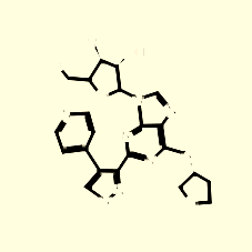 OCC1OC(n2cnc3c(N[C@@H]4CCOC4)nc(-c4n[nH]cc4-c4ccncc4)nc32)[C@H](O)[C@@H]1O